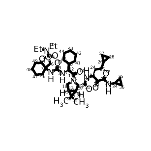 CCN(CC)S(=O)(=O)CC1(NC(=O)N[C@H](C(=O)N2C[C@H]3[C@@H]([C@H]2C(=O)N[C@@H](CCC2CC2)C(=O)C(=O)NC2CC2)C3(C)C)C2CCCCC2)CCCCC1